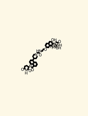 O=C(CN1CCC(c2ccc3c4c(cccc24)C(=O)N3C2CCC(=O)NC2=O)CC1)NCCOc1ccc2cc(O)c(N3CC(=O)NS3(O)O)c(F)c2c1